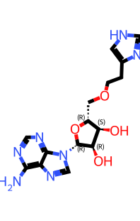 Nc1ncnc2c1ncn2[C@@H]1O[C@H](COCCc2c[nH]cn2)[C@@H](O)[C@H]1O